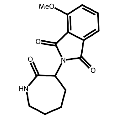 COc1cccc2c1C(=O)N(C1CCCCNC1=O)C2=O